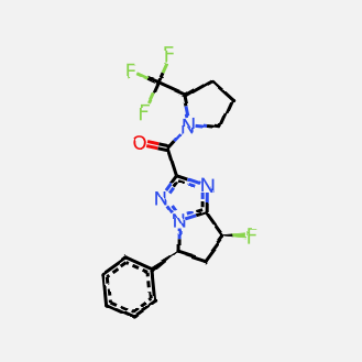 O=C(c1nc2n(n1)[C@H](c1ccccc1)C[C@@H]2F)N1CCCC1C(F)(F)F